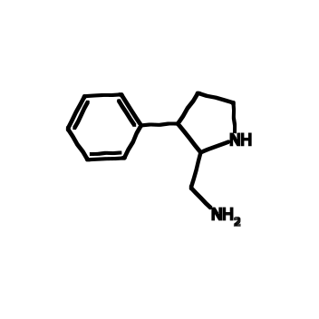 NCC1NCCC1c1ccccc1